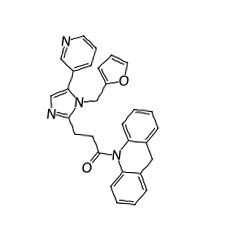 O=C(CCc1ncc(-c2cccnc2)n1Cc1ccco1)N1c2ccccc2Cc2ccccc21